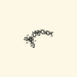 C[C@@H]1COCCN1c1nc(-c2ccc(NC(=O)Nc3ccc(N4CCC(N(C)C)CC4)cc3)cc2)nc(N2[C@H](C)CC[C@@H]2C)n1